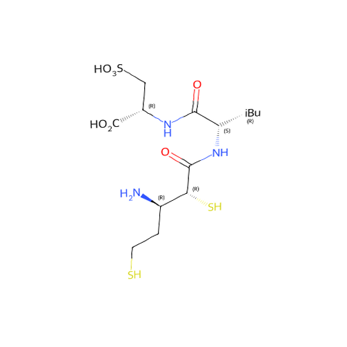 CC[C@@H](C)[C@H](NC(=O)[C@H](S)[C@H](N)CCS)C(=O)N[C@@H](CS(=O)(=O)O)C(=O)O